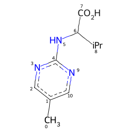 Cc1cnc(NC(C(=O)O)C(C)C)nc1